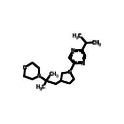 CC(C)c1cnc(N2CCC(CC(C)(C)N3CCOCC3)C2)cn1